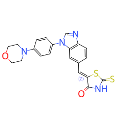 O=C1NC(=S)S/C1=C\c1ccc2ncn(-c3ccc(N4CCOCC4)cc3)c2c1